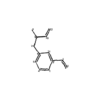 C=Cc1cccc(CC(C)C=C)c1